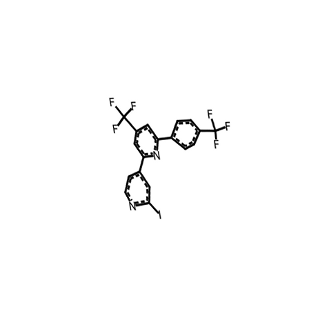 FC(F)(F)c1ccc(-c2cc(C(F)(F)F)cc(-c3ccnc(I)c3)n2)cc1